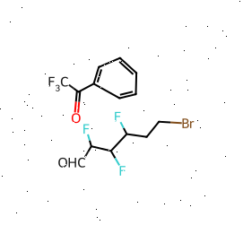 O=C(c1ccccc1)C(F)(F)F.O=CC(F)C(F)C(F)CCBr